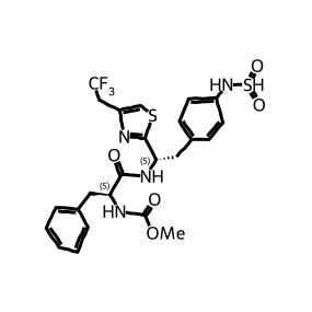 COC(=O)N[C@@H](Cc1ccccc1)C(=O)N[C@@H](Cc1ccc(N[SH](=O)=O)cc1)c1nc(CC(F)(F)F)cs1